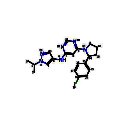 CC(C)n1cc(Nc2cc(N3CCCC3c3ccc(F)cc3)ncn2)cn1